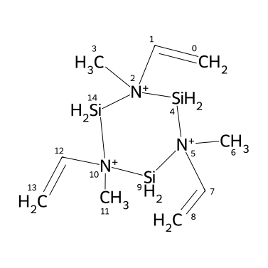 C=C[N+]1(C)[SiH2][N+](C)(C=C)[SiH2][N+](C)(C=C)[SiH2]1